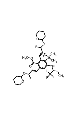 CC[C@@H](Nc1cc(/C=C/C(F)OC2CCCCO2)c(C(=O)OC)c(/C=C/C(F)OC2CCCCO2)c1[Si](C)(C)C)C(F)(F)F